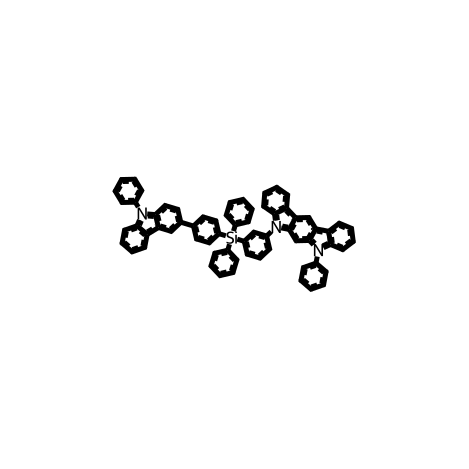 c1ccc(-n2c3ccccc3c3cc(-c4ccc([Si](c5ccccc5)(c5ccccc5)c5cccc(-n6c7ccccc7c7cc8c9ccccc9n(-c9ccccc9)c8cc76)c5)cc4)ccc32)cc1